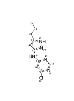 CCCc1cc(Nc2cc(Cl)ncn2)n[nH]1